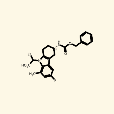 CCC(C(=O)O)n1c2c(c3cc(F)cc(C)c31)C[C@@H](NC(=O)OCc1ccccc1)CC2